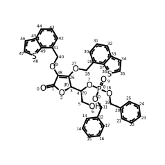 O=C1O[C@H]([C@H](CO)OP(=O)(OCc2ccccc2)OCc2ccccc2)C(OCc2cccc3ccsc23)=C1OCc1cccc2ccsc12